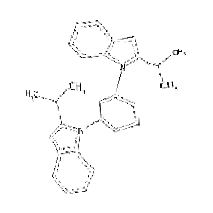 CC(C)c1cc2ccccc2n1-c1cccc(-n2c(C(C)C)cc3ccccc32)c1